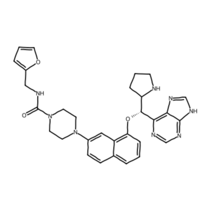 O=C(NCc1ccco1)N1CCN(c2ccc3cccc(O[C@@H](c4ncnc5[nH]cnc45)C4CCCN4)c3c2)CC1